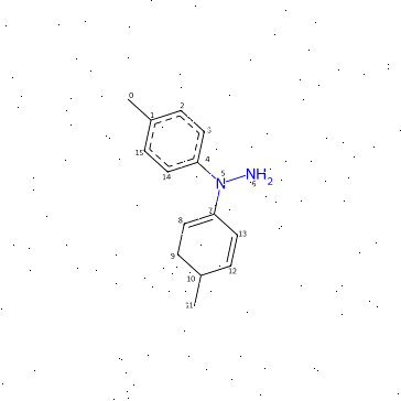 Cc1ccc(N(N)C2=CCC(C)C=C2)cc1